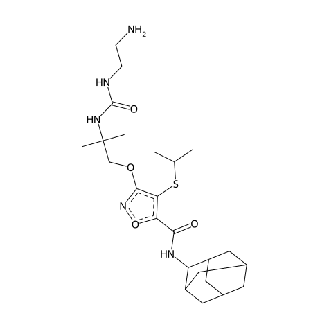 CC(C)Sc1c(OCC(C)(C)NC(=O)NCCN)noc1C(=O)NC1C2CC3CC(C2)CC1C3